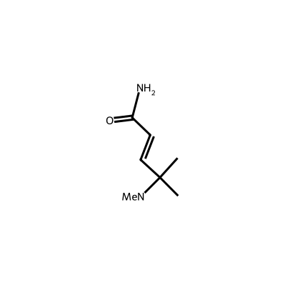 CNC(C)(C)C=CC(N)=O